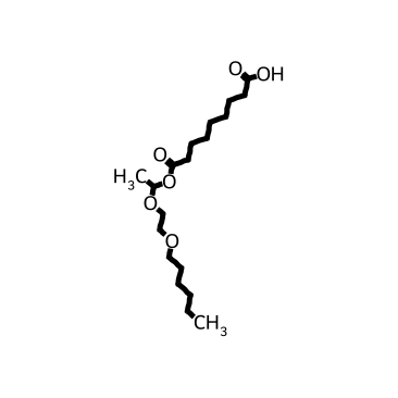 CCCCCCOCCOC(C)OC(=O)CCCCCCCC(=O)O